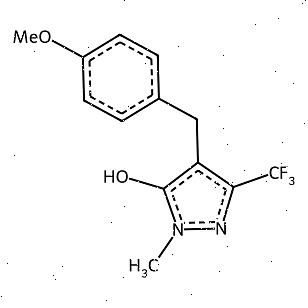 COc1ccc(Cc2c(C(F)(F)F)nn(C)c2O)cc1